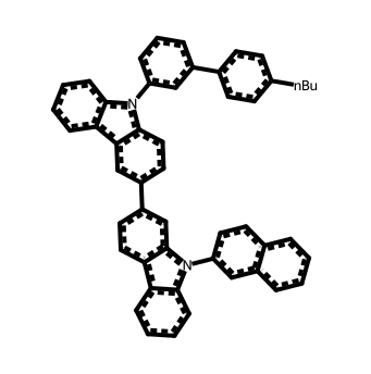 CCCCc1ccc(-c2cccc(-n3c4ccccc4c4cc(-c5ccc6c7ccccc7n(-c7ccc8ccccc8c7)c6c5)ccc43)c2)cc1